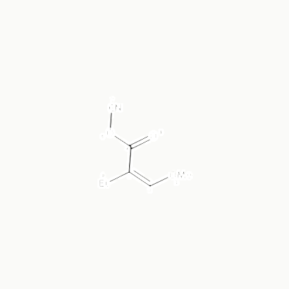 CCC(=COC)C(=O)OC#N